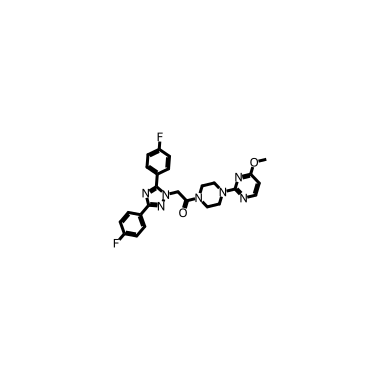 COc1ccnc(N2CCN(C(=O)Cn3nc(-c4ccc(F)cc4)nc3-c3ccc(F)cc3)CC2)n1